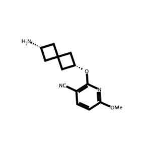 COc1ccc(C#N)c(O[C@H]2CC3(C[C@@H](N)C3)C2)n1